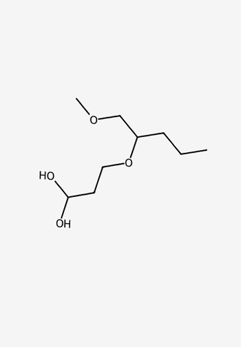 CCCC(COC)OCCC(O)O